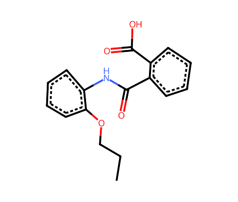 CCCOc1ccccc1NC(=O)c1ccccc1C(=O)O